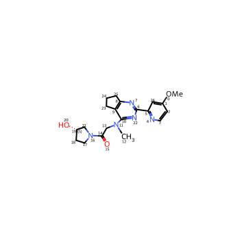 COc1ccnc(-c2nc3c(c(N(C)CC(=O)N4CC[C@H](O)C4)n2)CCC3)c1